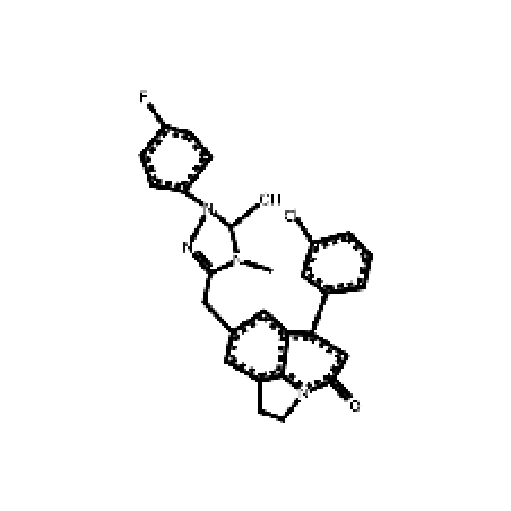 CN1C(Cc2cc3c4c(c2)c(-c2cccc(Cl)c2)cc(=O)n4CC3)=NN(c2ccc(F)cc2)C1O